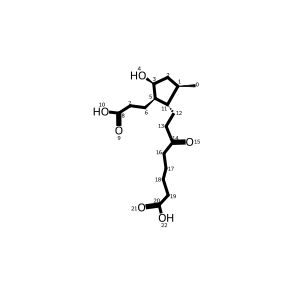 C[C@@H]1C[C@H](O)[C@H](CCC(=O)O)[C@H]1CCC(=O)CCCCC(=O)O